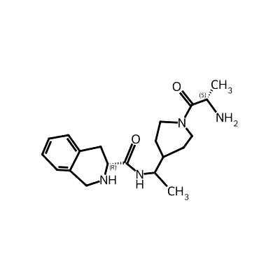 CC(NC(=O)[C@H]1Cc2ccccc2CN1)C1CCN(C(=O)[C@H](C)N)CC1